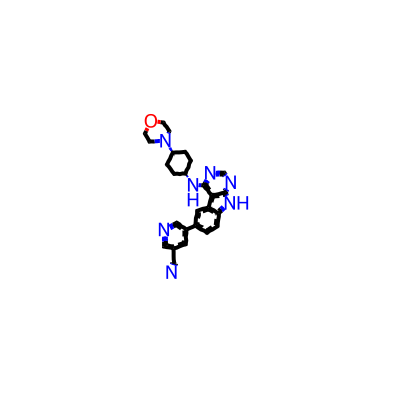 N#Cc1cncc(-c2ccc3[nH]c4ncnc(N[C@H]5CC[C@H](N6CCOCC6)CC5)c4c3c2)c1